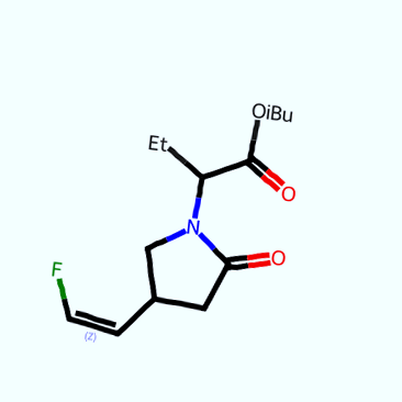 CCC(C(=O)OCC(C)C)N1CC(/C=C\F)CC1=O